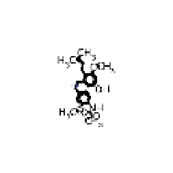 COc1cc(/C=C\c2cc(O)cc(OC)c2CC=C(C)C)ccc1NS(C)(=O)=O